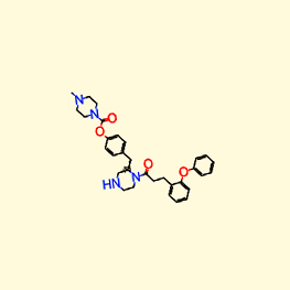 CN1CCN(C(=O)Oc2ccc(C[C@@H]3CNCCN3C(=O)CCc3ccccc3Oc3ccccc3)cc2)CC1